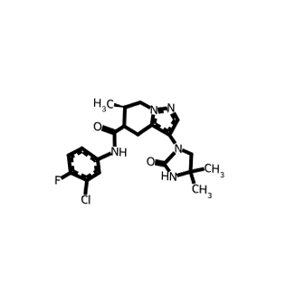 C[C@H]1Cn2ncc(N3CC(C)(C)NC3=O)c2CC1C(=O)Nc1ccc(F)c(Cl)c1